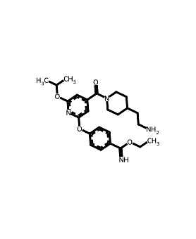 CCOC(=N)c1ccc(Oc2cc(C(=O)N3CCC(CCN)CC3)cc(OC(C)C)n2)cc1